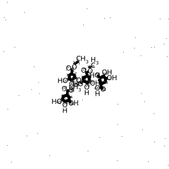 CCCOC(=O)c1cc(O)c(O)c(O)c1.CCOC(=O)c1cc(O)c(O)c(O)c1.COC(=O)c1cc(O)c(O)c(O)c1.O=C(O)c1cc(O)c(O)c(O)c1